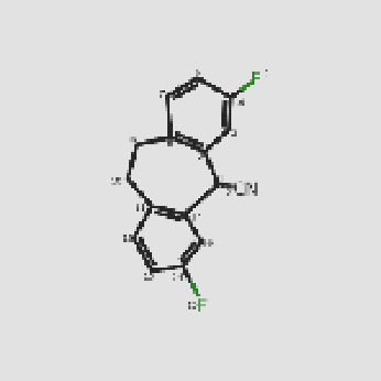 N#CC1c2cc(F)ccc2CCc2ccc(F)cc21